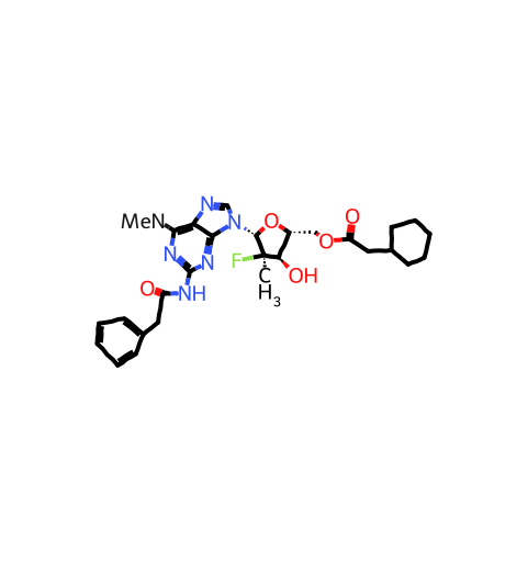 CNc1nc(NC(=O)Cc2ccccc2)nc2c1ncn2[C@@H]1O[C@H](COC(=O)CC2CCCCC2)[C@@H](O)[C@@]1(C)F